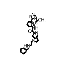 CC(C)n1cnnc1-c1cccc(NC(=O)c2cc3c(ccn3CCNCc3ccccc3)cn2)n1